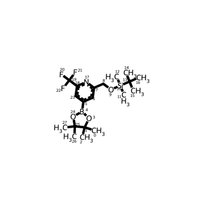 CC1(C)OB(c2cc(CO[Si](C)(C)C(C)(C)C)nc(C(F)(F)F)c2)OC1(C)C